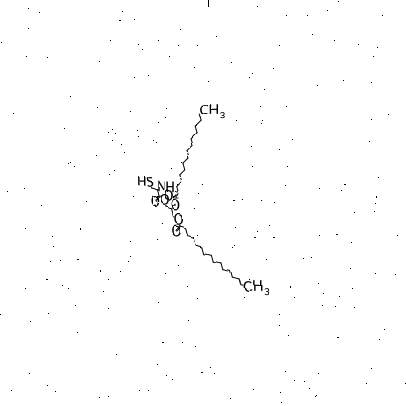 CCCCCCCCCCCCCCCC(=O)OCC(COC(=O)[C@@H](N)CS)OC(=O)CCCCCCCCCCCCCCC